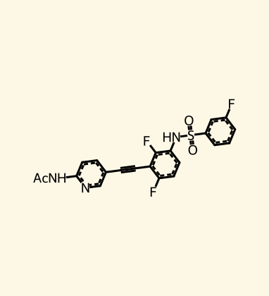 CC(=O)Nc1ccc(C#Cc2c(F)ccc(NS(=O)(=O)c3cccc(F)c3)c2F)cn1